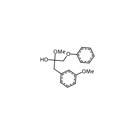 COc1cccc(CC(O)(COc2ccccc2)OC)c1